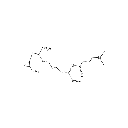 CCCCCCCCCC(CCCCCC(CC1CC1CCCCCCCC)C(=O)O)OC(=O)CCCN(C)C